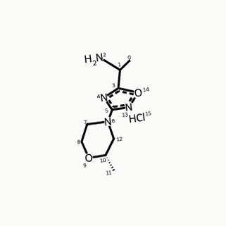 CC(N)c1nc(N2CCO[C@@H](C)C2)no1.Cl